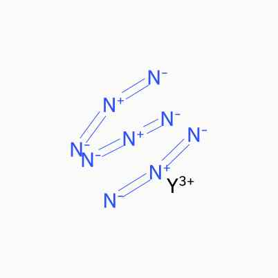 [N-]=[N+]=[N-].[N-]=[N+]=[N-].[N-]=[N+]=[N-].[Y+3]